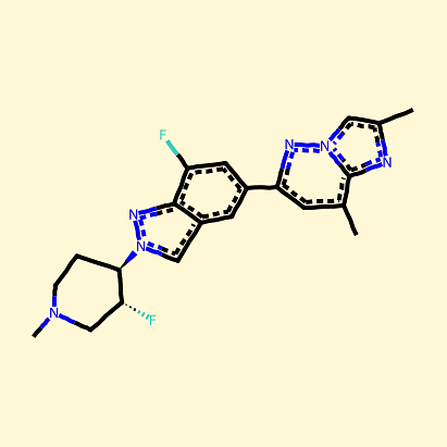 Cc1cn2nc(-c3cc(F)c4nn([C@@H]5CCN(C)C[C@H]5F)cc4c3)cc(C)c2n1